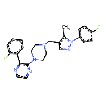 Cc1c(CN2CCN(c3nccnc3-c3ccccc3F)CC2)cnn1-c1ccc(F)cc1